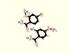 COc1cc(Br)ccc1C(C)=O.COc1ccc(C(C)=O)c(Br)c1